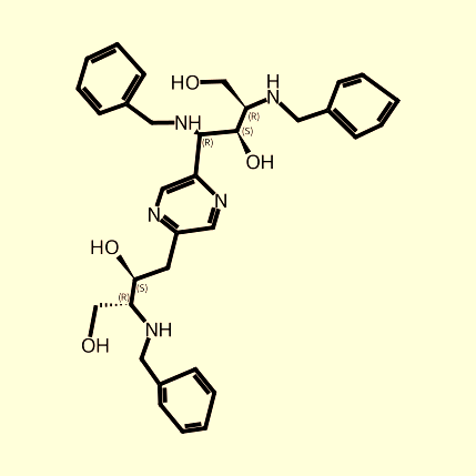 OC[C@@H](NCc1ccccc1)[C@@H](O)[C@H](NCc1ccccc1)c1cnc(C[C@H](O)[C@@H](CO)NCc2ccccc2)cn1